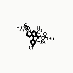 Cc1cc2nc(OS(=O)(=O)C(F)(F)F)ccc2c(-c2ccc(Cl)cc2)c1C(COC(=O)C(C)(C)C)OC(C)(C)C